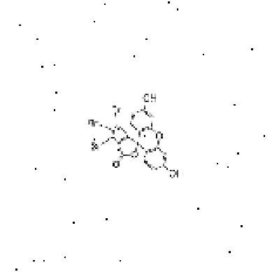 O=C1OC2(c3ccc(O)cc3Oc3cc(O)ccc32)c2cc(Br)c(Br)c(Br)c21